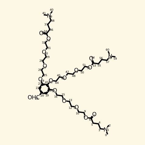 CN(C)CCCC(=O)OCCOCCOCCOc1cc(C=O)cc(OCCOCCOCCOC(=O)CCCN(C)C)c1OCCOCCOCCOC(=O)CCCN(C)C